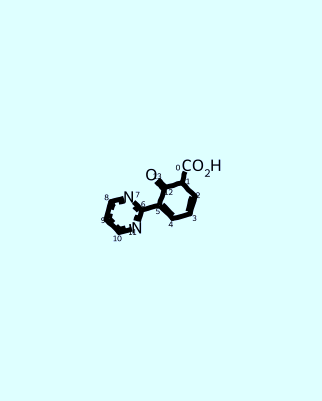 O=C(O)C1C=CC=C(c2ncccn2)C1=O